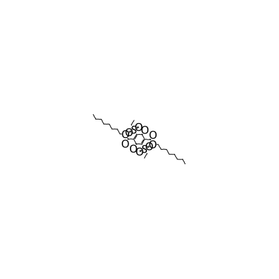 CCCCCCCCOC(=O)C1=C(S(=O)(=O)CC)C(=O)C(C(=O)OCCCCCCCC)=C(S(=O)(=O)CC)C1=O